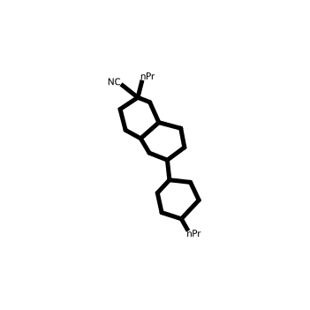 CCCC1CCC(C2CCC3CC(C#N)(CCC)CCC3C2)CC1